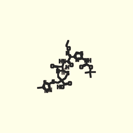 CCON=C(C(=O)NC1C(=O)N2CC(CSc3nnc(C)s3)(C(=O)O)CS[C@H]12)c1csc(NC(=O)OC(C)(C)C)n1